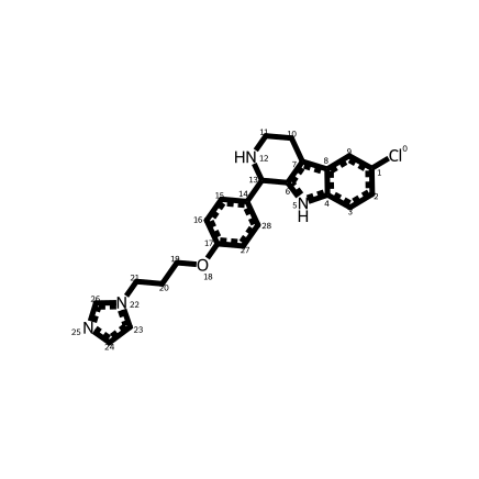 Clc1ccc2[nH]c3c(c2c1)CCNC3c1ccc(OCCCn2ccnc2)cc1